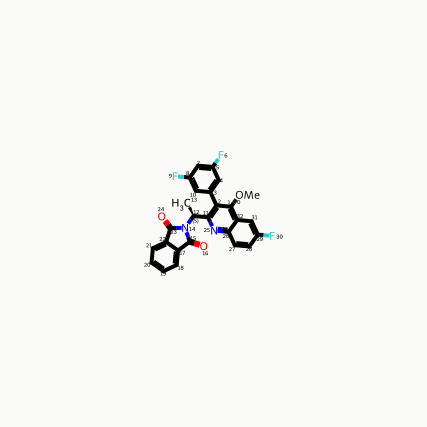 COc1c(-c2cc(F)cc(F)c2)c([C@H](C)N2C(=O)c3ccccc3C2=O)nc2ccc(F)cc12